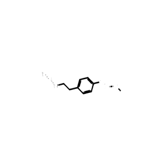 COOSc1ccc(CCN=[N+]=[N-])cc1